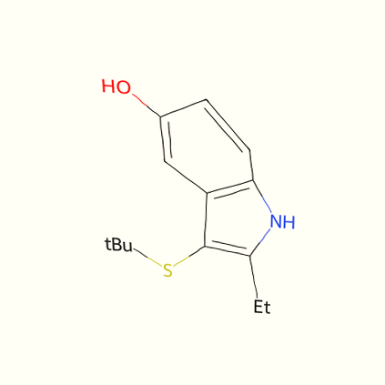 CCc1[nH]c2ccc(O)cc2c1SC(C)(C)C